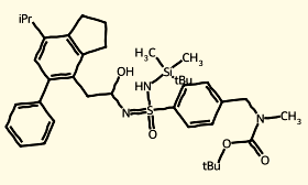 CC(C)c1cc(-c2ccccc2)c(CC(O)N=S(=O)(N[Si](C)(C)C(C)(C)C)c2ccc(CN(C)C(=O)OC(C)(C)C)cc2)c2c1CCC2